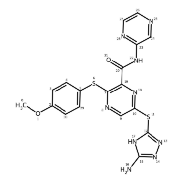 COc1ccc(Sc2ncc(Sc3nnc(N)[nH]3)nc2C(=O)Nc2cnccn2)cc1